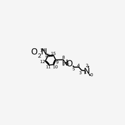 CN(C)CCCON=Cc1cccc([N+](=O)[O-])c1